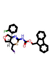 O=C(NC1=N[C@]2(c3ccccc3F)COC[C@@H]2C(CI)S1)OCC1c2ccccc2-c2ccccc21